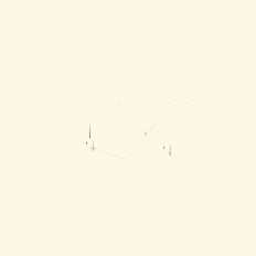 C#C[C@]1(N)CCN(C)C1